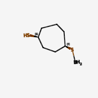 BS[C@@H]1CCC[C@H](S)CC1